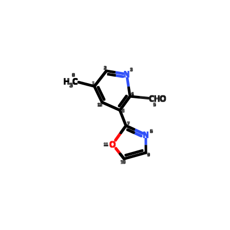 Cc1cnc(C=O)c(-c2ncco2)c1